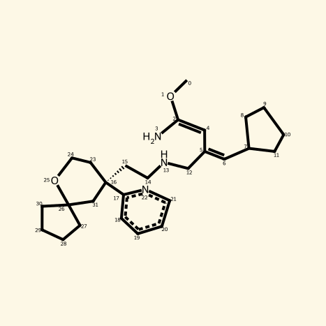 CO/C(N)=C/C(=C\C1CCCC1)CNCC[C@@]1(c2ccccn2)CCOC2(CCCC2)C1